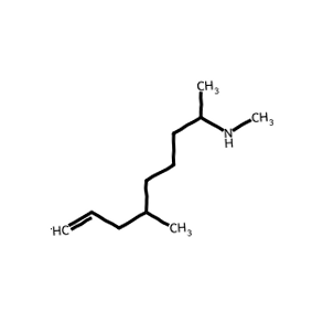 [CH]=CCC(C)CCCC(C)NC